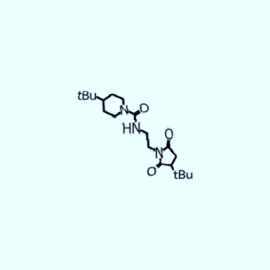 CC(C)(C)C1CCN(C(=O)NCCN2C(=O)CC(C(C)(C)C)C2=O)CC1